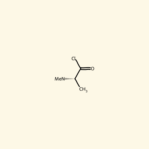 CN[C@@H](C)C(=O)Cl